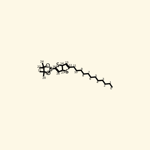 CCCCCCCCCCCCC1=CC2SC(B3OC(C)(C)C(C)(C)O3)=CC2S1